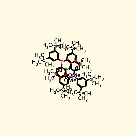 COC1(OC)C=CC=C(P(c2cc([Si](C)(C)C)cc([Si](C)(C)C)c2)c2cc([Si](C)(C)C)cc([Si](C)(C)C)c2)[C@H]1c1ccccc1P(c1cc([Si](C)(C)C)cc([Si](C)(C)C)c1)c1cc([Si](C)(C)C)cc([Si](C)(C)C)c1